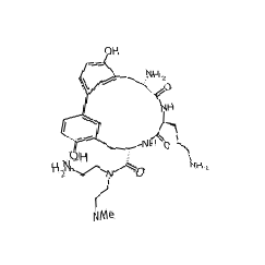 CNCCN(CCN)C(=O)[C@@H]1Cc2cc(ccc2O)-c2ccc(O)c(c2)C[C@H](N)C(=O)N[C@@H](CCCN)C(=O)N1